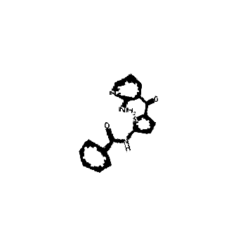 Nc1ncccc1C(=O)c1ccc(NC(=O)c2ccccc2)s1